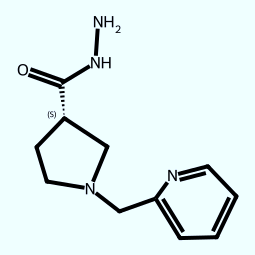 NNC(=O)[C@H]1CCN(Cc2ccccn2)C1